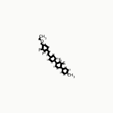 CCOCc1ccc(/C=C/c2ccc(-c3ccc(-c4ccc(C)cc4)c(F)c3F)cc2)c(F)c1F